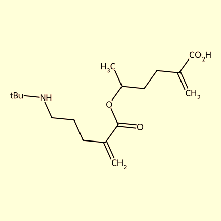 C=C(CCC(C)OC(=O)C(=C)CCCNC(C)(C)C)C(=O)O